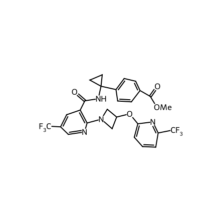 COC(=O)c1ccc(C2(NC(=O)c3cc(C(F)(F)F)cnc3N3CC(Oc4cccc(C(F)(F)F)n4)C3)CC2)cc1